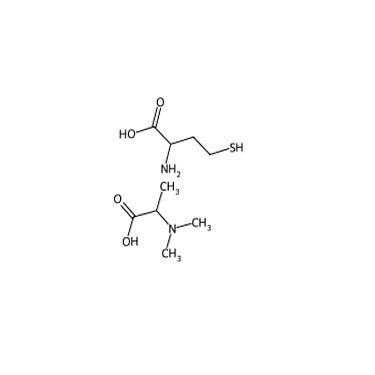 CC(C(=O)O)N(C)C.NC(CCS)C(=O)O